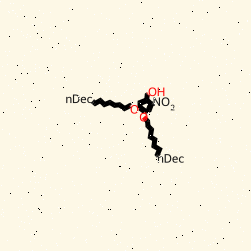 CCCCCCCCCCCCCCCCCCOc1cc(CO)c([N+](=O)[O-])cc1OCCCCCCCCCCCCCCCCCC